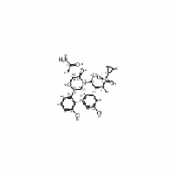 CCC(CN(C)S(=O)(=O)C1CC1)N1C(=O)[C@@H](CC(N)=O)O[C@H](c2cccc(Cl)c2)[C@H]1c1ccc(Cl)cc1